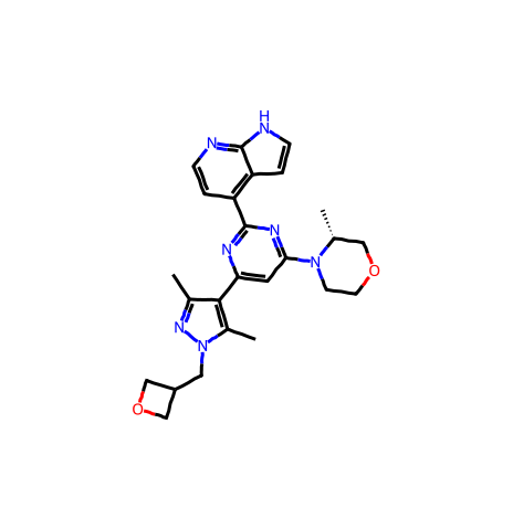 Cc1nn(CC2COC2)c(C)c1-c1cc(N2CCOC[C@H]2C)nc(-c2ccnc3[nH]ccc23)n1